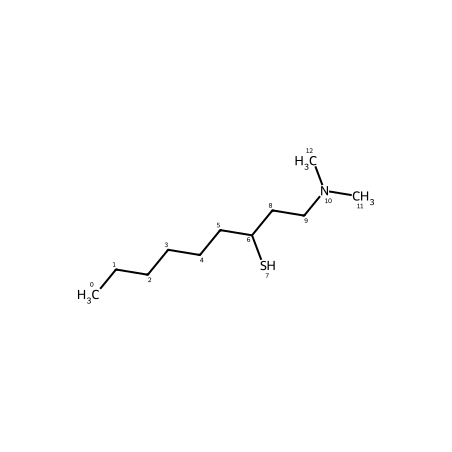 CCCCCCC(S)CCN(C)C